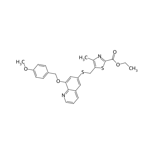 CCOC(=O)c1nc(C)c(CSc2cc(OCc3ccc(OC)cc3)c3ncccc3c2)s1